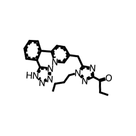 CCCCn1nc(C(=O)CC)nc1Cc1ccc(-c2ccccc2-c2nnn[nH]2)nc1